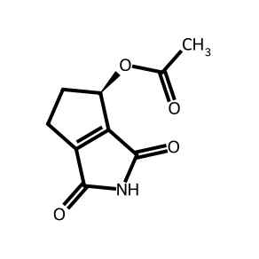 CC(=O)O[C@@H]1CCC2=C1C(=O)NC2=O